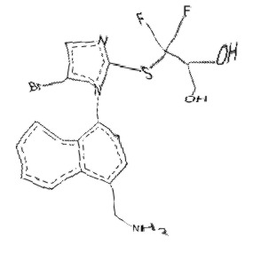 NCc1ccc(-n2c(Br)cnc2SC(F)(F)C(O)O)c2ccccc12